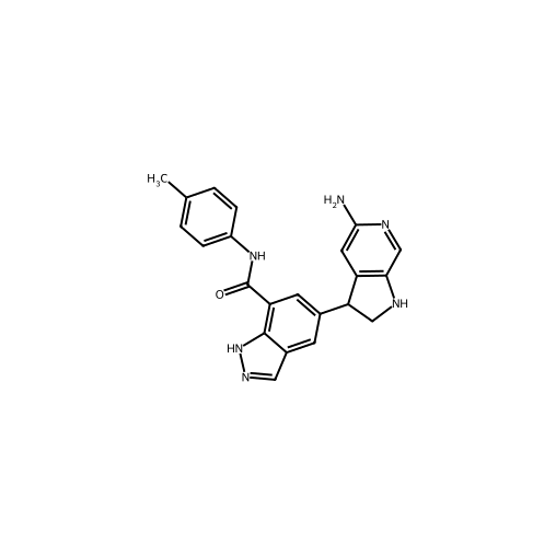 Cc1ccc(NC(=O)c2cc(C3CNc4cnc(N)cc43)cc3cn[nH]c23)cc1